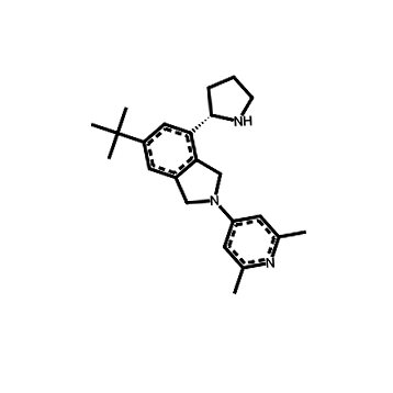 Cc1cc(N2Cc3cc(C(C)(C)C)cc([C@@H]4CCCN4)c3C2)cc(C)n1